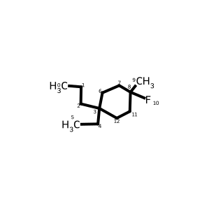 CCCC1(CC)CCC(C)(F)CC1